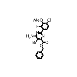 COc1c(Cl)ccc(-c2nc(N)c(Br)c(C(=O)OCc3ccccc3)n2)c1F